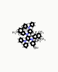 Cc1cc(C(C)(C)C)ccc1N1c2cc3c(cc2B2c4ccc(N(c5ccccc5)c5ccccc5)cc4N(c4ccc5c(c4)C(C)(C)CCC5(C)C)c4cc(N(c5ccccc5)c5ccccc5)cc1c42)C(C)(C)CCC3(C)C